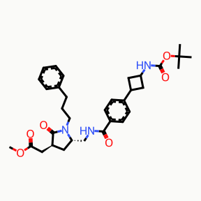 COC(=O)C[C@@H]1C[C@@H](CNC(=O)c2ccc(C3CC(NC(=O)OC(C)(C)C)C3)cc2)N(CCCc2ccccc2)C1=O